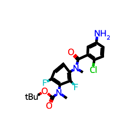 CN(C(=O)c1cc(N)ccc1Cl)c1ccc(F)c(N(C)C(=O)OC(C)(C)C)c1F